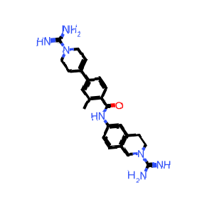 Cc1cc(C2=CCN(C(=N)N)CC2)ccc1C(=O)Nc1ccc2c(c1)CCN(C(=N)N)C2